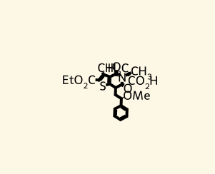 CCOC(=O)c1sc2c(c1C)C(=O)N(C(C)(C)C(=O)O)C(=O)C2C[C@H](OC)c1ccccc1